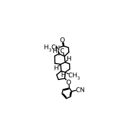 CN1C(=O)CC[C@@]2(C)C1CC[C@@H]1[C@H]2CC[C@]2(C)C(Oc3ccccc3C#N)CC[C@@H]12